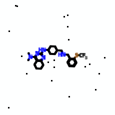 CN(C)c1nc(NC2CCC(CNCc3ccccc3SC(F)(F)F)CC2)nc2c1CCCC2